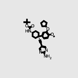 COc1ccc([C@]2(C#Cc3cnc(N)nc3)CC[C@@H](NC(=O)OC(C)(C)C)CC2)cc1OC1CCCC1